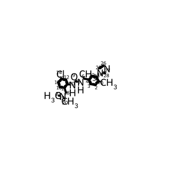 Cc1ccc([C@H](C)NC(=O)Nc2cc(Cl)ccc2CN(C)C)cc1-n1ccnc1